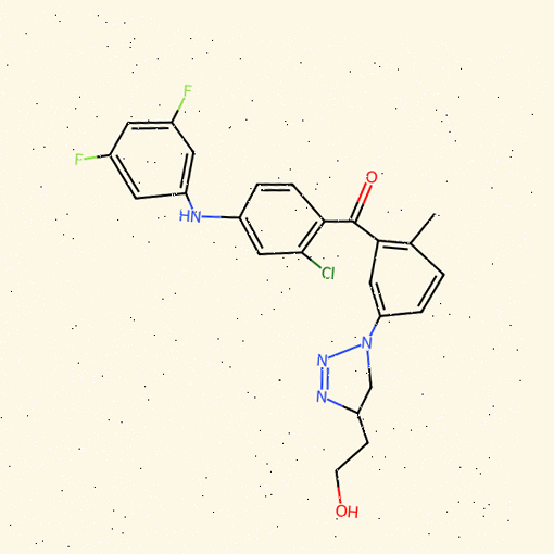 Cc1ccc(N2CC(CCO)N=N2)cc1C(=O)c1ccc(Nc2cc(F)cc(F)c2)cc1Cl